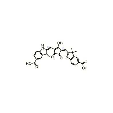 CC1/C(=C\C2=C(O)C(=C/C3=Nc4ccc(C(=O)O)cc4C3(C)C)/C(=O)C2=O)Nc2ccc(C(=O)O)cc21